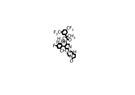 Cc1cc(F)ccc1-c1cc(N2CCN3C(=O)CC[C@H]3C2)ncc1N(C)C(=O)C(C)(C)C1=CC(C(F)(F)F)=CC(C(F)(F)F)C1